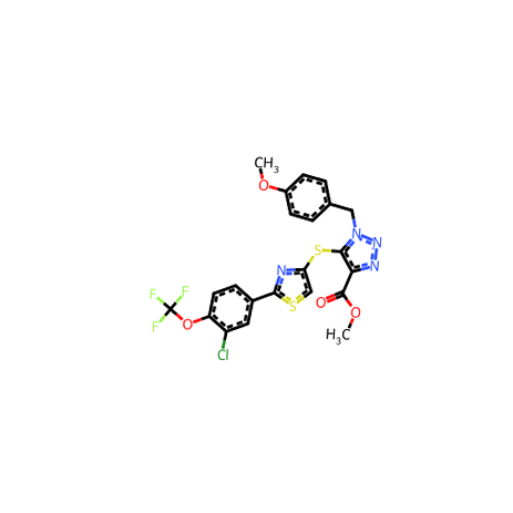 COC(=O)c1nnn(Cc2ccc(OC)cc2)c1Sc1csc(-c2ccc(OC(F)(F)F)c(Cl)c2)n1